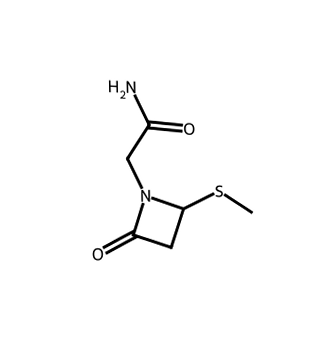 CSC1CC(=O)N1CC(N)=O